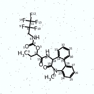 CCC(OC(=O)NCC(F)(F)C(F)(F)F)C(=O)NC1C(=O)N(C)c2ccccc2-c2ccccc21